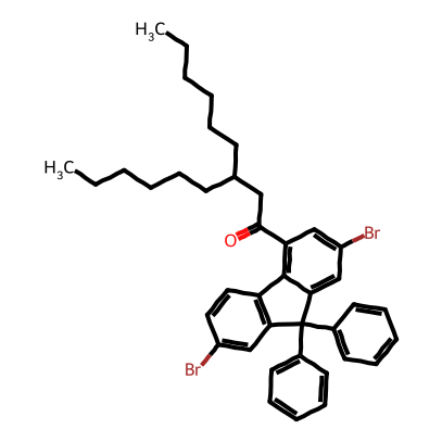 CCCCCCC(CCCCCC)CC(=O)c1cc(Br)cc2c1-c1ccc(Br)cc1C2(c1ccccc1)c1ccccc1